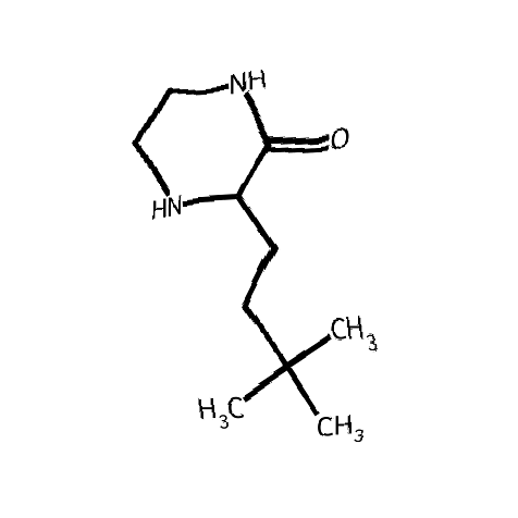 CC(C)(C)CCC1NCCNC1=O